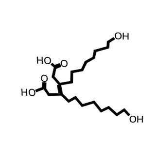 O=C(O)CC(CCCCCCCCO)=C(CCCCCCCCO)CC(=O)O